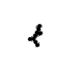 c1ccc(-c2nc(-c3ccc(-c4ccccn4)cc3)cc(-c3ccc(-c4ccc(-c5ccc6c(c5)oc5ccccc56)c5c4oc4ccccc45)cc3)n2)cc1